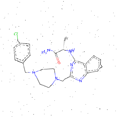 CC(C)[C@H](Nc1nc(CN2CCN(Cc3ccc(Cl)cc3)CC2)nc2ccccc12)C(N)=O